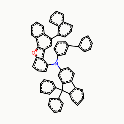 c1ccc(-c2cccc(N(c3ccc4c(c3)C(c3ccccc3)(c3ccccc3)c3ccccc3-4)c3cccc4oc5c6ccccc6c(-c6cccc7ccccc67)cc5c34)c2)cc1